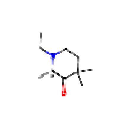 CCN1CCC(C)(C)C(=O)[C@@H]1C